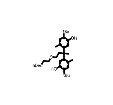 CCCCCCCCCCCCSCCC(C)(c1cc(O)c(C(C)(C)C)cc1C)c1cc(O)c(C(C)(C)C)cc1C